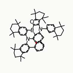 Cc1cc2c3c(c1)N(c1ccc4c(c1)C(C)(C)CCC4(C)C)c1c(oc4c1C(C)(C)CCC4(C)C)B3c1cc3c(cc1N2c1cc2c(cc1-c1ccccc1)C(C)(C)CCC2(C)C)C(C)(C)CCC3(C)C